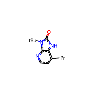 CC(C)c1ccnc2c1[nH]c(=O)n2C(C)(C)C